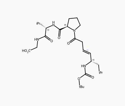 CC(C)C[C@@H](/C=C/CC(=O)N1CCC[C@@H]1C(=O)N[C@H](C(=O)NCC(=O)O)C(C)C)NC(=O)OC(C)(C)C